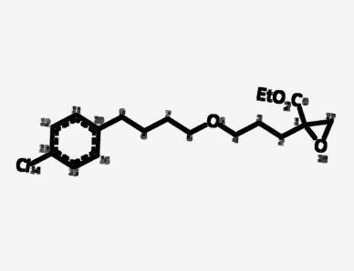 CCOC(=O)C1(CCCOCCCCc2ccc(Cl)cc2)CO1